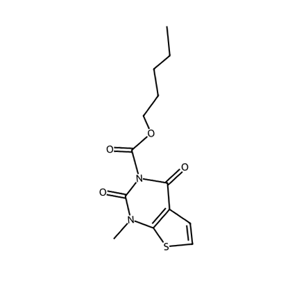 CCCCCOC(=O)n1c(=O)c2ccsc2n(C)c1=O